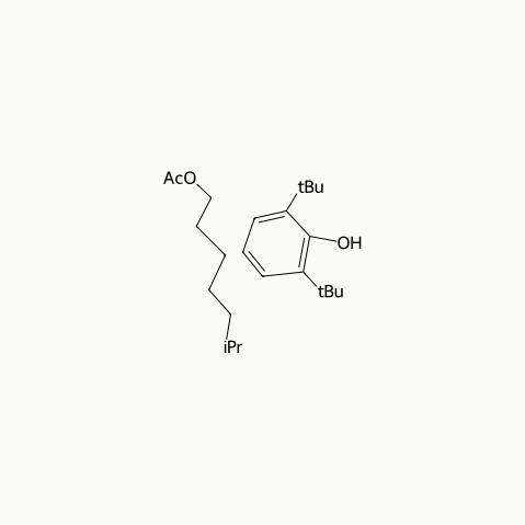 CC(=O)OCCCCCC(C)C.CC(C)(C)c1cccc(C(C)(C)C)c1O